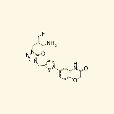 NC/C(=C\F)Cn1ncn(Cc2ccc(-c3ccc4c(c3)NC(=O)CO4)s2)c1=O